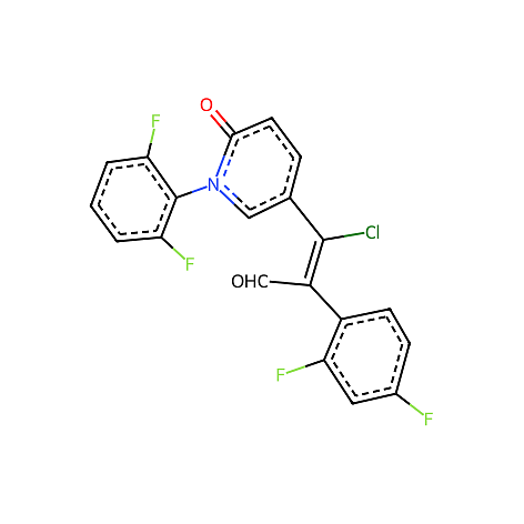 O=CC(=C(Cl)c1ccc(=O)n(-c2c(F)cccc2F)c1)c1ccc(F)cc1F